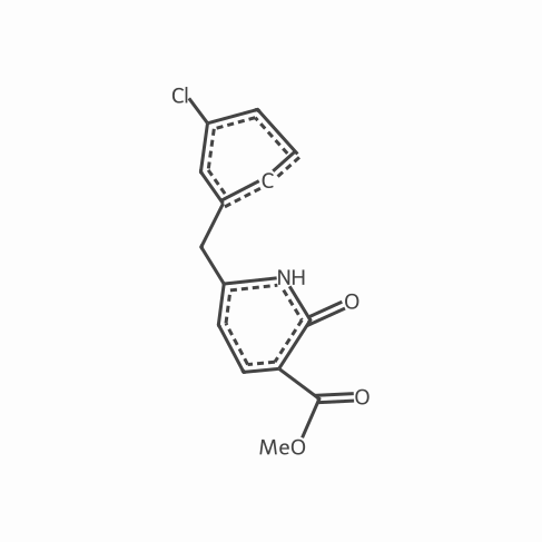 COC(=O)c1ccc(Cc2cccc(Cl)c2)[nH]c1=O